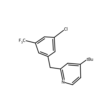 CC(C)(C)c1ccnc(Cc2cc(Cl)cc(C(F)(F)F)c2)c1